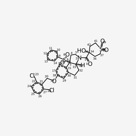 O=C(N1CC[C@@]2(S(=O)(=O)c3ccccc3)c3ccc(OCc4c(Cl)cccc4Cl)cc3CC[C@@H]12)C1(O)CCS(=O)(=O)CC1